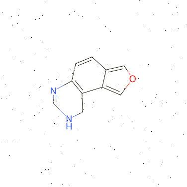 C1=Nc2ccc3cocc3c2CN1